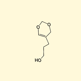 OCCCC1=COCOC1